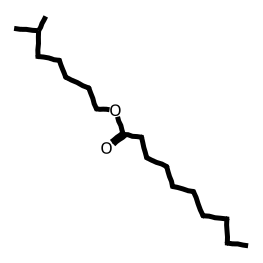 CCCCCCCCCC(=O)OCCCCCC(C)C